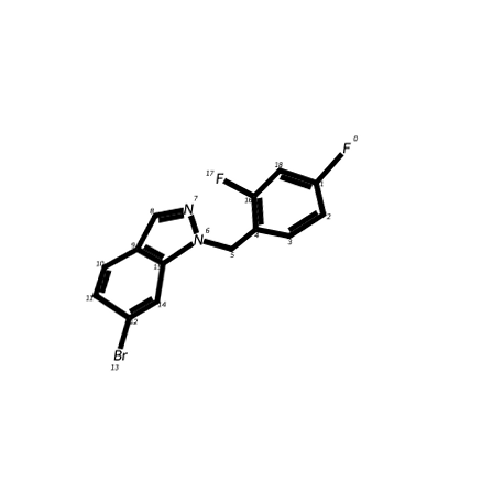 Fc1ccc(Cn2ncc3ccc(Br)cc32)c(F)c1